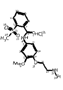 COc1cc(NC(=O)c2ccccc2S(C)(=O)=O)ccc1OCCNC(C)C.Cl